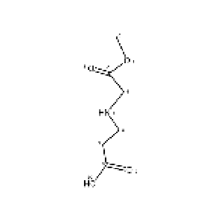 COC(=O)CNCCC(=O)O